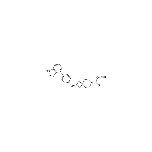 CC(C)(C)OC(=O)N1CCC2(CC1)CC(Oc1ccc(-c3cccc4c3CCN4)nc1)C2